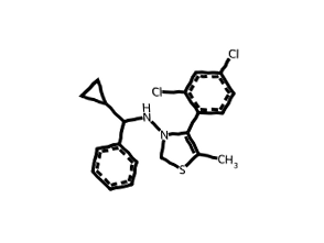 CC1=C(c2ccc(Cl)cc2Cl)N(NC(c2ccccc2)C2CC2)CS1